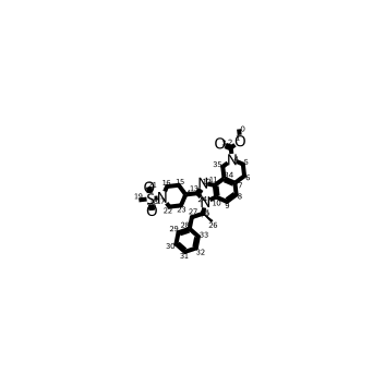 COC(=O)N1CCc2ccc3c(nc(C4CCN(S(C)(=O)=O)CC4)n3[C@@H](C)Cc3ccccc3)c2C1